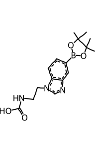 CC1(C)OB(c2ccc3c(c2)ncn3CCNC(=O)O)OC1(C)C